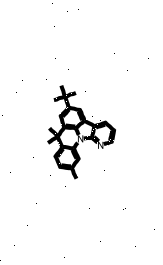 Cc1ccc2c(c1)-n1c3ncccc3c3cc(C(C)(C)C)cc(c31)C2(C)C